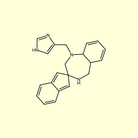 C1=CC2CNC3(C=c4ccccc4=C3)CN(Cc3c[nH]cn3)C2C=C1